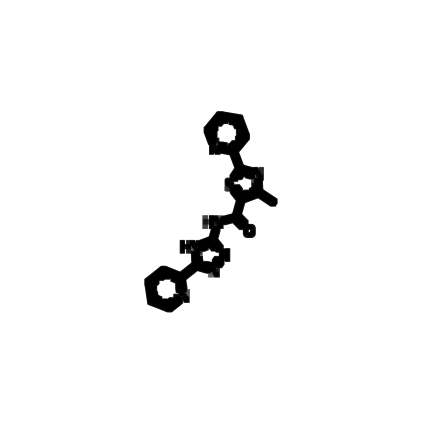 Cc1nc(-c2ccccn2)sc1C(=O)Nc1nnc(-c2ccccn2)[nH]1